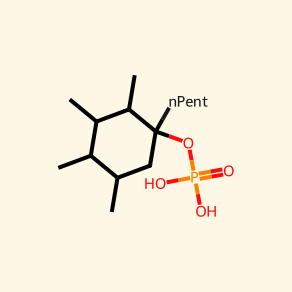 CCCCCC1(OP(=O)(O)O)CC(C)C(C)C(C)C1C